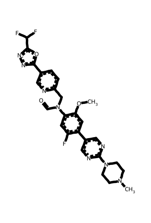 COc1cc(-c2cnc(N3CCN(C)CC3)nc2)c(F)cc1N(C=O)Cc1ccc(-c2nnc(C(F)F)o2)cn1